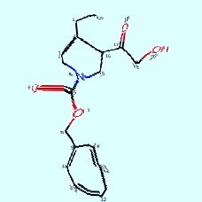 CCC1CN(C(=O)OCc2ccccc2)CC1C(=O)CO